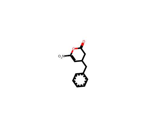 O=C1CC(Cc2ccccc2)C=C([N+](=O)[O-])O1